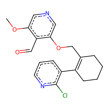 COc1cncc(OCC2=C(c3cccnc3Cl)CCCC2)c1C=O